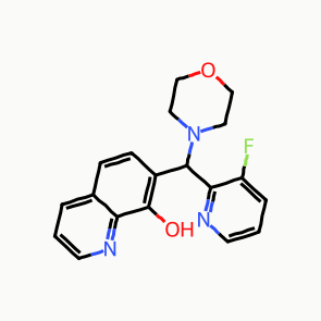 Oc1c(C(c2ncccc2F)N2CCOCC2)ccc2cccnc12